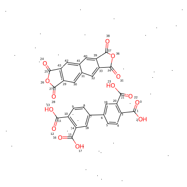 O=C(O)c1ccc(-c2ccc(C(=O)O)c(C(=O)O)c2)cc1C(=O)O.O=c1oc(=O)c2cc3cc4c(=O)oc(=O)c4cc3cc12